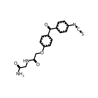 NC(=O)CNC(=O)COc1ccc(C(=O)c2ccc(N=C=S)cc2)cc1